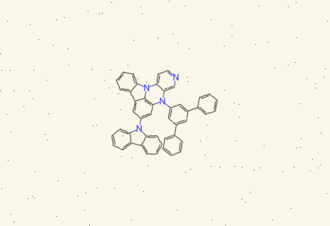 c1ccc(-c2cc(-c3ccccc3)cc(N3c4cnccc4-n4c5ccccc5c5cc(-n6c7ccccc7c7ccccc76)cc3c54)c2)cc1